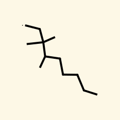 [CH2]CC(C)(C)C(C)CCCCC